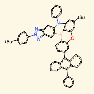 CC(C)(C)c1ccc(-n2nc3cc4c(cc3n2)N(c2ccccc2)c2cc(C(C)(C)C)cc3c2B4c2ccc(-c4c5ccccc5c(-c5ccccc5)c5ccccc45)cc2O3)cc1